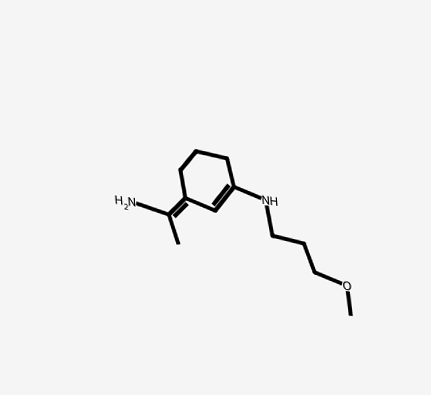 COCCCNC1=C/C(=C(\C)N)CCC1